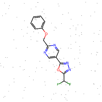 FC(F)c1nnc(-c2cnc(COc3ccccc3)nc2)o1